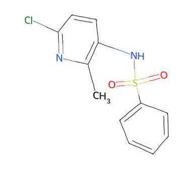 Cc1nc(Cl)ccc1NS(=O)(=O)c1ccccc1